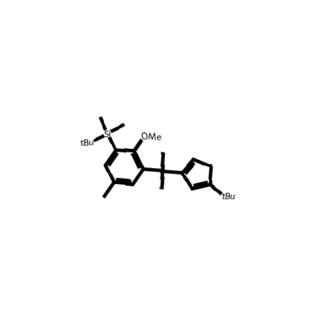 COc1c(C(C)(C)C2=CCC(C(C)(C)C)=C2)cc(C)cc1[Si](C)(C)C(C)(C)C